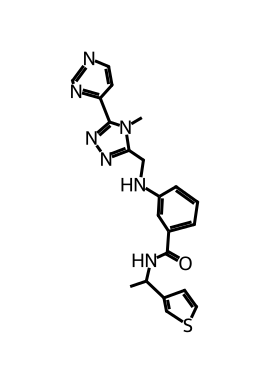 CC(NC(=O)c1cccc(NCc2nnc(-c3ccncn3)n2C)c1)c1ccsc1